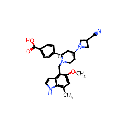 COc1cc(C)c2[nH]ccc2c1CN1CC[C@H](N2CC(C#N)C2)C[C@@H]1c1ccc(C(=O)O)cc1